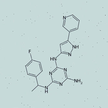 CC(Nc1nc(N)nc(Nc2cc(-c3cccnc3)[nH]n2)n1)c1ccc(F)cc1